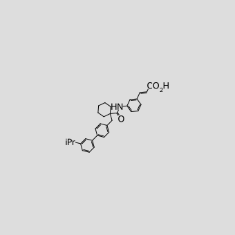 CC(C)c1cccc(-c2ccc(CC3(C(=O)Nc4cccc(/C=C/C(=O)O)c4)CCCCC3)cc2)c1